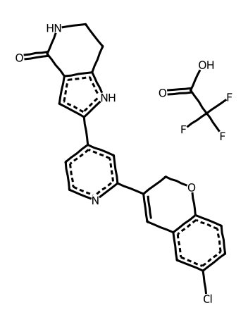 O=C(O)C(F)(F)F.O=C1NCCc2[nH]c(-c3ccnc(C4=Cc5cc(Cl)ccc5OC4)c3)cc21